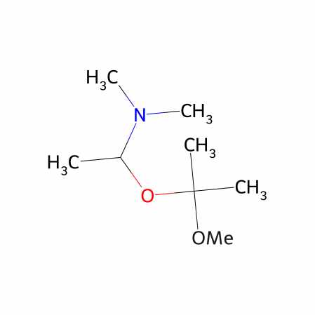 COC(C)(C)OC(C)N(C)C